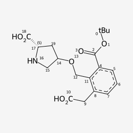 CC(C)(C)OC(=O)c1cccc(CC(=O)O)c1COC1CN[C@H](C(=O)O)C1